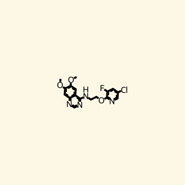 COc1cc2ncnc(NCCOc3ncc(Cl)cc3F)c2cc1OC